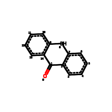 O=C1c2ccccc2Bc2ccccc21